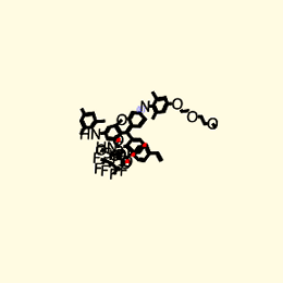 C=Cc1ccc(NS(=O)(=O)C(F)(F)C(F)(F)C(F)(F)S(=O)(=O)NS(=O)(=O)c2ccccc2-c2c3cc/c(=N\c4c(C)cc(OCCOCCOC)cc4C)cc-3oc3cc(Nc4c(C)cc(C)cc4C)ccc23)cc1